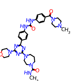 CNC(=O)N1CCCN(c2nc(-c3ccc(NC(=O)Nc4ccc(C(=O)N5CCN(C)CC5)cc4)cc3)nc(N3CCOCC3)n2)CC1